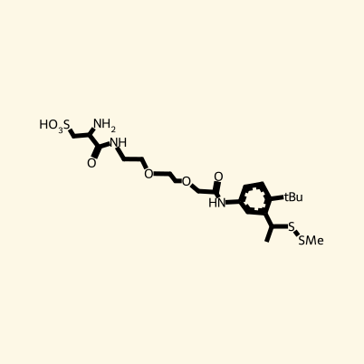 CSSC(C)c1cc(NC(=O)COCCOCCNC(=O)C(N)CS(=O)(=O)O)ccc1C(C)(C)C